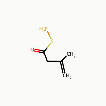 C=C(C)CC(=O)SP